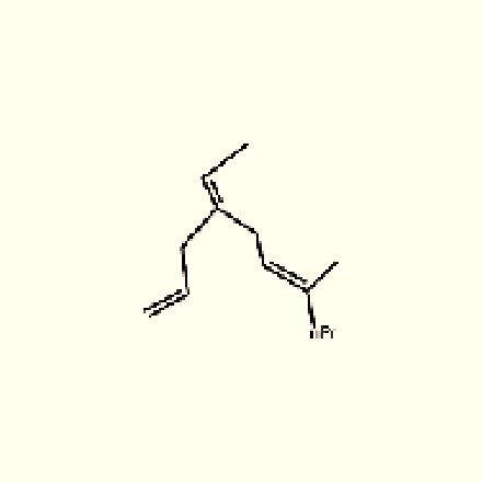 C=CC/C(=C/C)C/C=C(\C)CCC